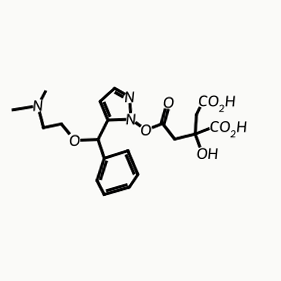 CN(C)CCOC(c1ccccc1)c1ccnn1OC(=O)CC(O)(CC(=O)O)C(=O)O